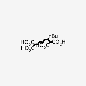 CCCCC(CCCCC(C(=O)O)C(=O)O)C(C(=O)O)C(=O)O